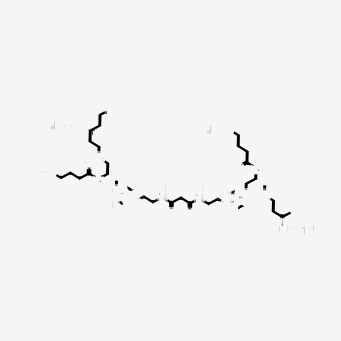 CCCCCCCCCCCCCC(=O)N[C@H](COCC[C@@H](C)CCCCCCC)COP(=O)(O)OCCNC(=O)CC(=O)NCCOP(=O)(O)OC[C@@H](COCC[C@H](CCCCCCC)CCCCCCCCCCCC)NC(=O)CCCCCCCCCCCCC